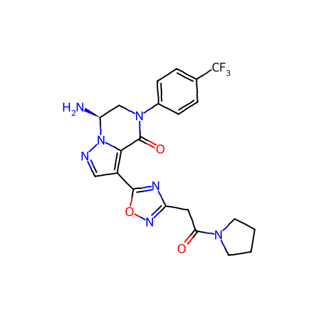 N[C@H]1CN(c2ccc(C(F)(F)F)cc2)C(=O)c2c(-c3nc(CC(=O)N4CCCC4)no3)cnn21